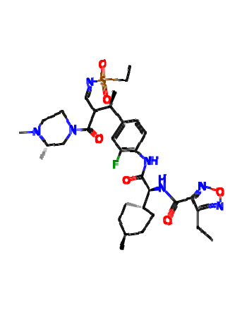 CCc1nonc1C(=O)N[C@H](C(=O)Nc1ccc([C@H](C)C(/C=N\S(=O)(=O)CC)C(=O)N2CCN(C)[C@@H](C)C2)cc1F)[C@H]1CC[C@H](C)CC1